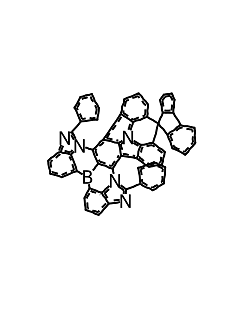 c1ccc(-c2nc3cccc4c3n2-c2c3c(c5c6cccc7c6n6c8c(cccc8c2c56)C72c5ccccc5-c5ccccc52)-n2c(-c5ccccc5)nc5cccc(c52)B34)cc1